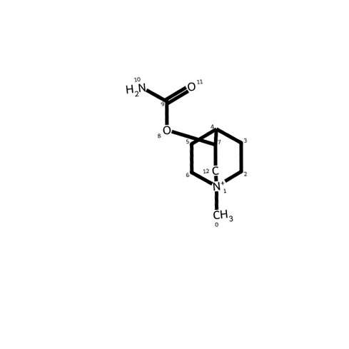 C[N+]12CCC(CC1)C(OC(N)=O)C2